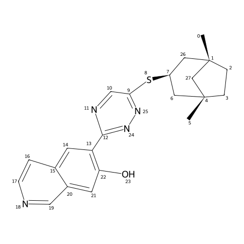 C[C@]12CC[C@](C)(C[C@@H](Sc3cnc(-c4cc5ccncc5cc4O)nn3)C1)C2